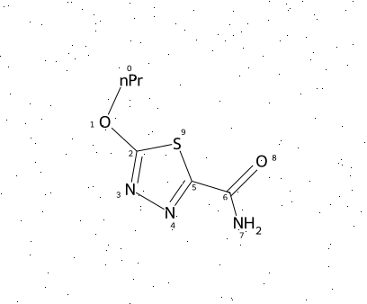 CCCOc1nnc(C(N)=O)s1